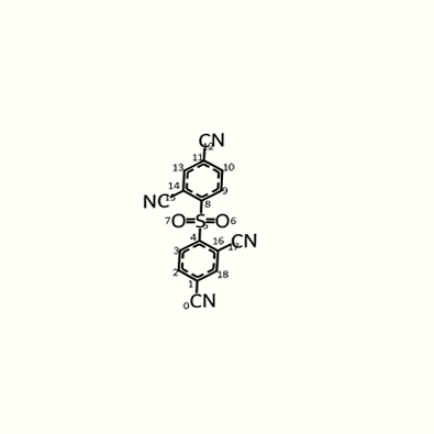 N#Cc1ccc(S(=O)(=O)c2ccc(C#N)cc2C#N)c(C#N)c1